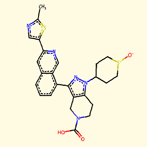 Cc1ncc(-c2cc3cccc(-c4nn(C5CC[S+]([O-])CC5)c5c4CN(C(=O)O)CC5)c3cn2)s1